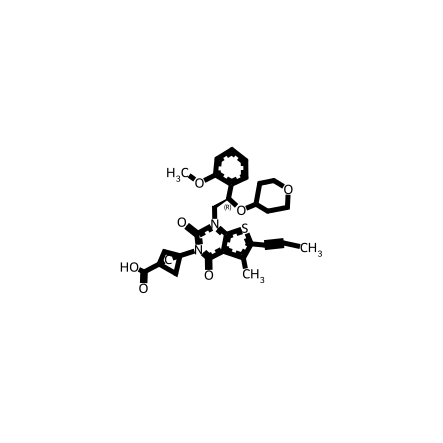 CC#Cc1sc2c(c1C)c(=O)n(C13CC(C(=O)O)(C1)C3)c(=O)n2C[C@H](OC1CCOCC1)c1ccccc1OC